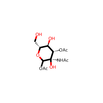 CC(=O)N[C@]1(O)C(OC(C)=O)O[C@H](CO)[C@@H](O)[C@@H]1OC(C)=O